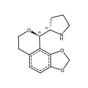 c1cc2c(c3c1CCO[C@H]3[C@@H]1CCCN1)OCO2